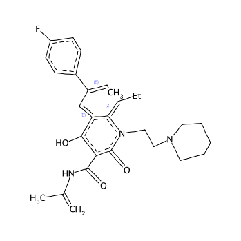 C=C(C)NC(=O)c1c(O)c(=C/C(=C\C)c2ccc(F)cc2)/c(=C/CC)n(CCN2CCCCC2)c1=O